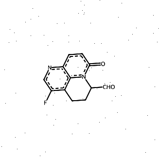 O=CC1CCc2c(F)cnc3ccc(=O)n1c23